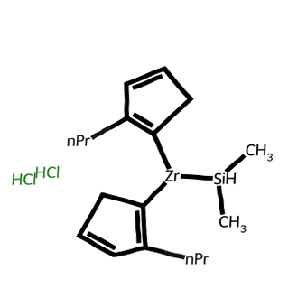 CCCC1=[C]([Zr]([C]2=C(CCC)C=CC2)[SiH](C)C)CC=C1.Cl.Cl